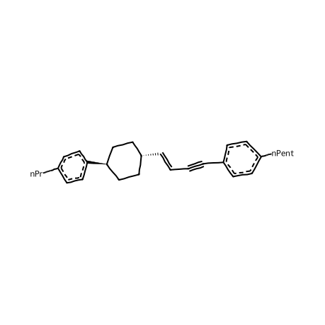 CCCCCc1ccc(C#CC=C[C@H]2CC[C@H](c3ccc(CCC)cc3)CC2)cc1